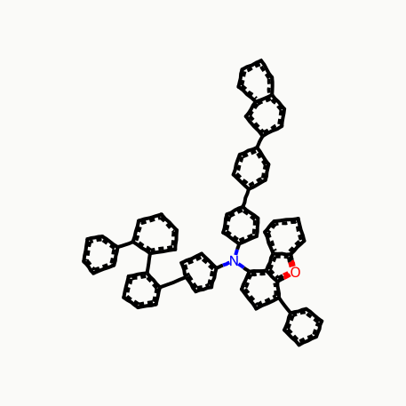 c1ccc(-c2ccccc2-c2ccccc2-c2ccc(N(c3ccc(-c4ccc(-c5ccc6ccccc6c5)cc4)cc3)c3ccc(-c4ccccc4)c4oc5ccccc5c34)cc2)cc1